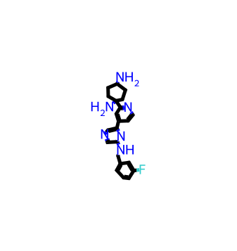 NC1CCC(N)(c2cc(-c3cncc(NCc4cccc(F)c4)n3)ccn2)CC1